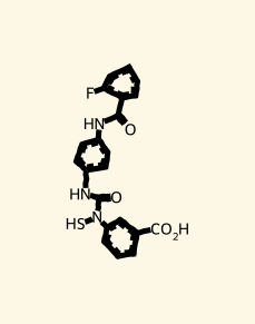 O=C(O)c1cccc(N(S)C(=O)Nc2ccc(NC(=O)c3ccccc3F)cc2)c1